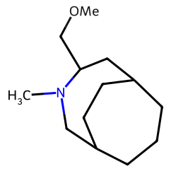 COCC1CC2CCCC(CC2)CN1C